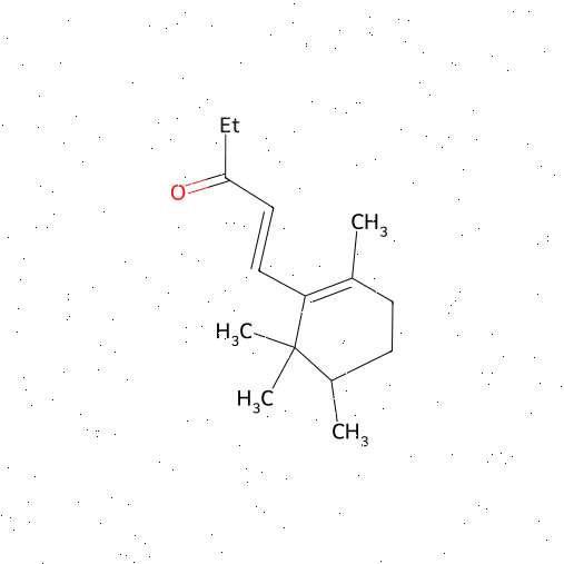 CCC(=O)/C=C/C1=C(C)CCC(C)C1(C)C